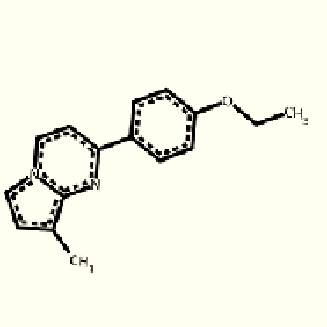 CCOc1ccc(-c2ccn3ccc(C)c3n2)cc1